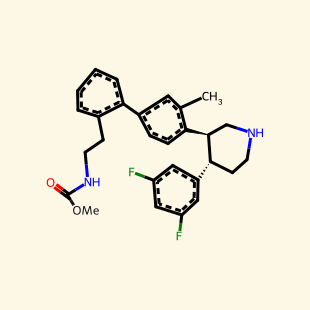 COC(=O)NCCc1ccccc1-c1ccc([C@H]2CNCC[C@@H]2c2cc(F)cc(F)c2)c(C)c1